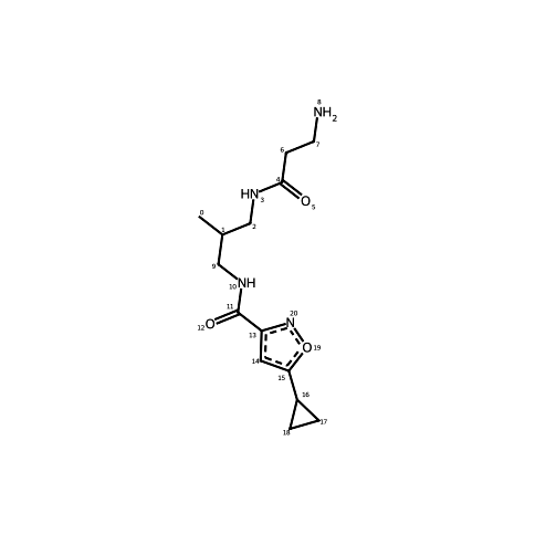 CC(CNC(=O)CCN)CNC(=O)c1cc(C2CC2)on1